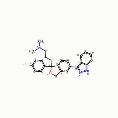 CN(C)CCCC1(c2ccc(F)cc2)OCc2cc(-c3n[nH]c4ccccc34)ccc21